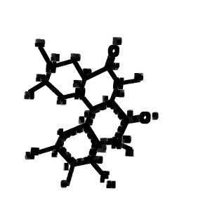 Cc1c(F)cc2c3c(c(=O)n(C)c2c1F)N(C)C(=O)C1CN(C)C(C)CN31